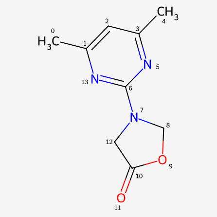 Cc1cc(C)nc(N2COC(=O)C2)n1